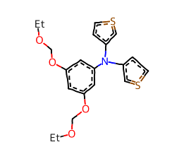 CCOCOc1cc(OCOCC)cc(N(c2ccsc2)c2ccsc2)c1